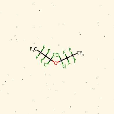 FC(F)(F)C(F)(F)C(F)(F)C(Cl)(Cl)OC(Cl)(Cl)C(F)(F)C(F)(F)C(F)(F)F